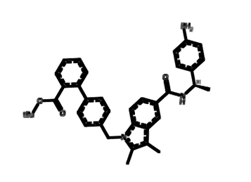 Bc1ccc([C@@H](C)NC(=O)c2ccc3c(c2)c(C)c(C)n3Cc2ccc(-c3ccccc3C(=O)OC(C)(C)C)cc2)cc1